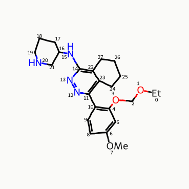 CCOCOc1cc(OC)ccc1-c1nnc(NC2CCCNC2)c2c1CCCC2